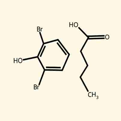 CCCCC(=O)O.Oc1c(Br)cccc1Br